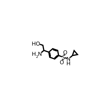 NC(CO)c1ccc(S(=O)(=O)NC2CC2)cc1